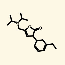 CCC1=CC=CC(C2C=C(CN(C(C)C)C(C)C)OC2=O)C1